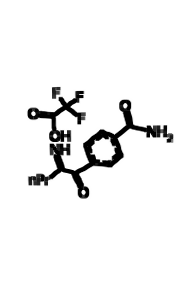 CCCC(=N)C(=O)c1ccc(C(N)=O)cc1.O=C(O)C(F)(F)F